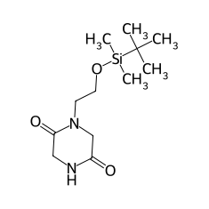 CC(C)(C)[Si](C)(C)OCCN1CC(=O)NCC1=O